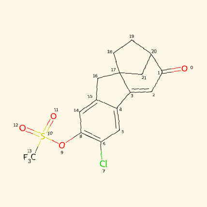 O=C1C=C2c3cc(Cl)c(OS(=O)(=O)C(F)(F)F)cc3CC23CCC1C3